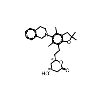 Cc1c(CC[C@@H]2C[C@@H](O)CC(=O)O2)c2c(c(C)c1N1CCc3ccccc3C1)CC(C)(C)O2